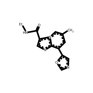 CCNC(=O)c1cnc2c(-c3cnco3)cc(C)cn12